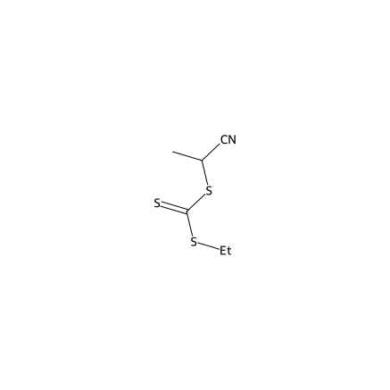 CCSC(=S)SC(C)C#N